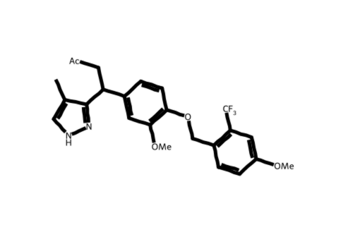 COc1ccc(COc2ccc(C(CC(C)=O)c3n[nH]cc3C)cc2OC)c(C(F)(F)F)c1